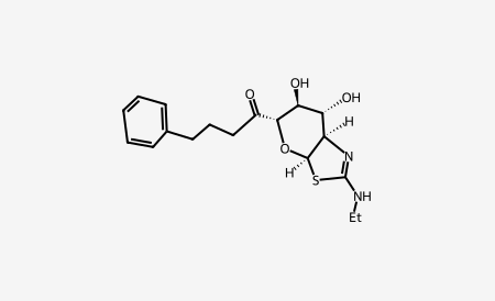 CCNC1=N[C@@H]2[C@@H](O)[C@H](O)[C@@H](C(=O)CCCc3ccccc3)O[C@@H]2S1